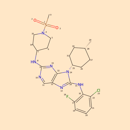 CS(=O)(=O)N1CCC(Nc2ncc3nc(Nc4c(F)cccc4Cl)n([C@H]4CC[C@@H](C)CC4)c3n2)CC1